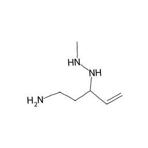 C=CC(CCN)NNC